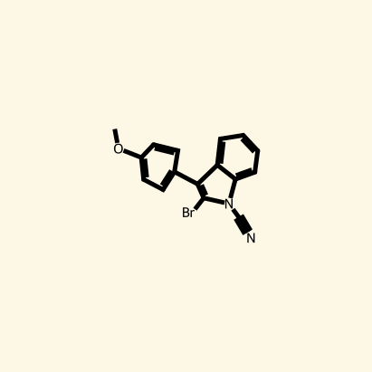 COc1ccc(-c2c(Br)n(C#N)c3ccccc23)cc1